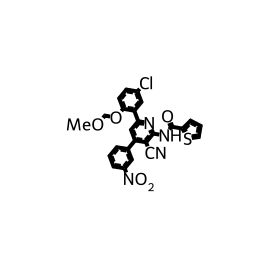 COCOc1ccc(Cl)cc1-c1cc(-c2cccc([N+](=O)[O-])c2)c(C#N)c(NC(=O)c2cccs2)n1